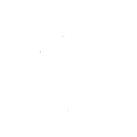 CN(CCOCc1cccc(CC#N)c1)C(=O)OC(C)(C)C